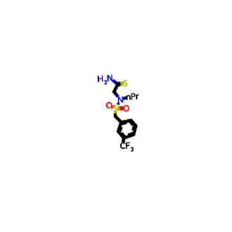 CCCN(CC(N)=S)S(=O)(=O)Cc1cccc(C(F)(F)F)c1